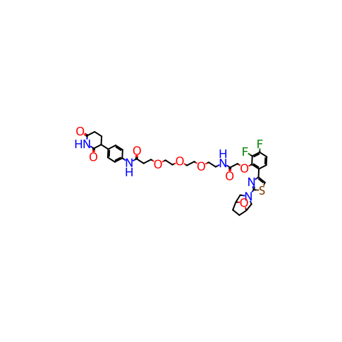 O=C(COc1c(-c2csc(N3CC4CCC(C3)O4)n2)ccc(F)c1F)NCCOCCOCCOCCC(=O)Nc1ccc(C2CCC(=O)NC2=O)cc1